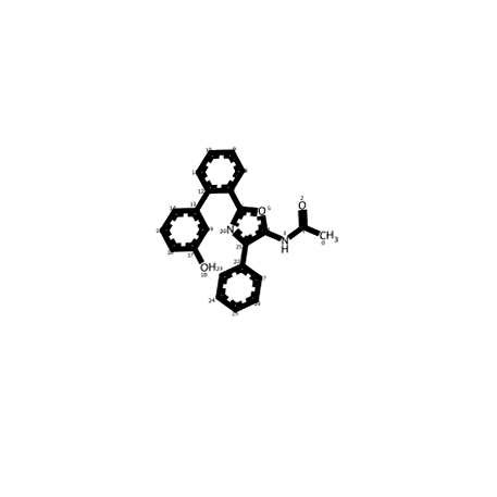 CC(=O)Nc1oc(-c2ccccc2-c2cccc(O)c2)nc1-c1ccccc1